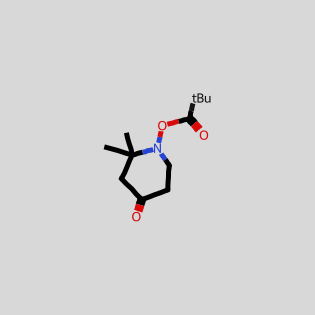 CC(C)(C)C(=O)ON1CCC(=O)CC1(C)C